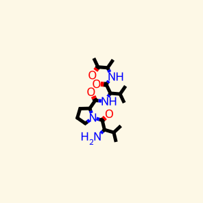 CC(=O)C(C)NC(=O)C(NC(=O)C1CCCN1C(=O)C(N)C(C)C)C(C)C